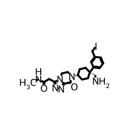 CNC(=O)Cc1nnc2n1CCN([C@H]1CC[C@](CN)(c3cccc(CI)c3)CC1)C2=O